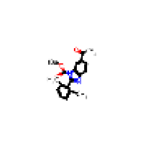 Cc1cccc(C)c1-c1nc2ccc(C(=O)C(F)(F)F)cc2n1C(=O)OC(C)(C)C